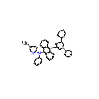 CC(C)(C)c1ccc(N(c2ccccc2)c2c3ccccc3c(-c3cc(-c4ccccc4)cc(-c4ccccc4)c3)c3ccccc23)nc1